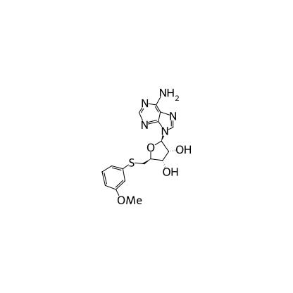 COc1cccc(SC[C@H]2O[C@@H](n3cnc4c(N)ncnc43)[C@H](O)[C@@H]2O)c1